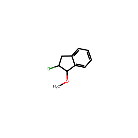 COC1c2ccccc2CC1Cl